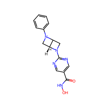 O=C(NO)c1cnc(N2CC3[C@H]2CN3c2ccccc2)nc1